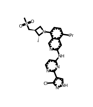 CC(C)c1ccc(N2C[C@H](CS(C)(=O)=O)[C@H]2C)c2cnc(Nc3ccnc(-c4c[nH]nc4Cl)n3)cc12